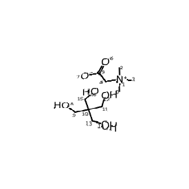 C[N+](C)(C)CC(=O)[O-].OCC(CO)(CO)CO